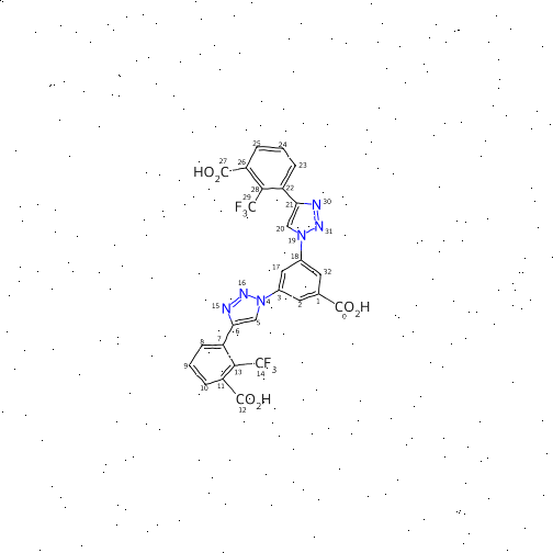 O=C(O)c1cc(-n2cc(-c3cccc(C(=O)O)c3C(F)(F)F)nn2)cc(-n2cc(-c3cccc(C(=O)O)c3C(F)(F)F)nn2)c1